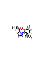 BC(=O)c1cccn1-c1cc(Cl)ccc1[N+](=O)[O-]